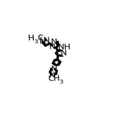 CN1CCN(c2ccc(-c3cnc4[nH]c5cnc(-c6ccn(C)n6)nc5c4c3)cc2)CC1